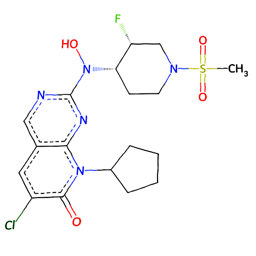 CS(=O)(=O)N1CC[C@H](N(O)c2ncc3cc(Cl)c(=O)n(C4CCCC4)c3n2)[C@H](F)C1